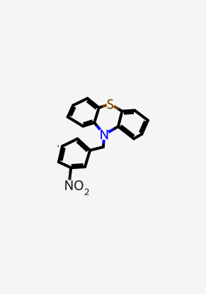 O=[N+]([O-])c1c[c]cc(CN2c3ccccc3Sc3ccccc32)c1